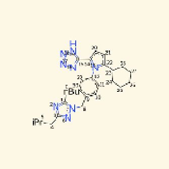 CCCCc1nc(CC(C)C)nn1Cc1ccc(-n2c(-c3nnn[nH]3)ccc2C2CCCCC2)cc1